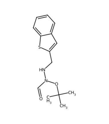 CC(C)(C)ON(C=O)NCc1cc2ccccc2s1